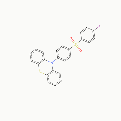 O=S(=O)(C1=C=C=C(I)C=C1)c1ccc(N2c3ccccc3Sc3ccccc32)cc1